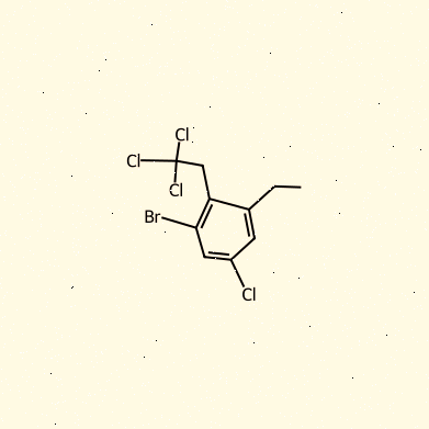 CCc1cc(Cl)cc(Br)c1CC(Cl)(Cl)Cl